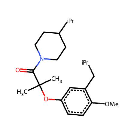 COc1ccc(OC(C)(C)C(=O)N2CCC(C(C)C)CC2)cc1CC(C)C